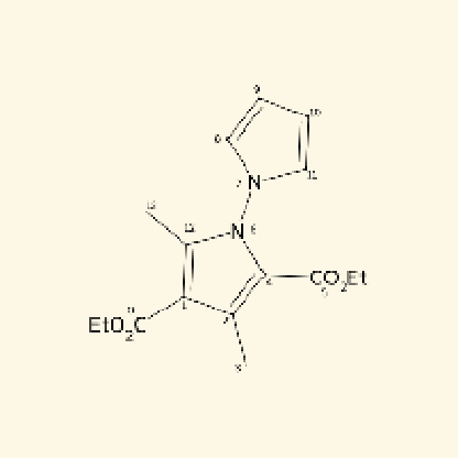 CCOC(=O)c1c(C)c(C(=O)OCC)n(-n2cccc2)c1C